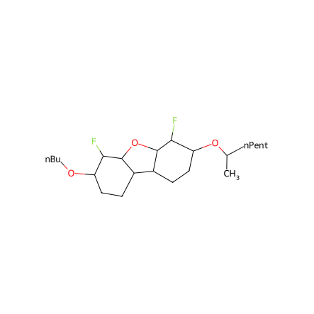 CCCCCC(C)OC1CCC2C3CCC(OCCCC)C(F)C3OC2C1F